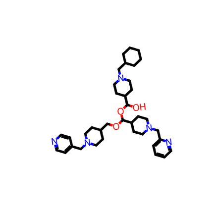 OC(OC(OCC1CCN(Cc2ccncc2)CC1)C1CCN(Cc2ccccn2)CC1)C1CCN(CC2CCCCC2)CC1